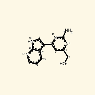 Nc1nc(CO)cc(-c2c[nH]c3ncccc23)n1